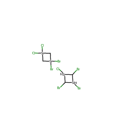 Cl[SiH]1C(Br)[SiH](Br)C1Br.Cl[Si]1(Cl)C[Si](Br)(Br)C1